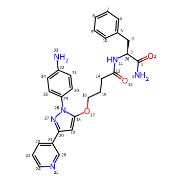 NC(=O)[C@H](Cc1ccccc1)NC(=O)CCCOc1cc(-c2cccnc2)nn1-c1ccc(N)cc1